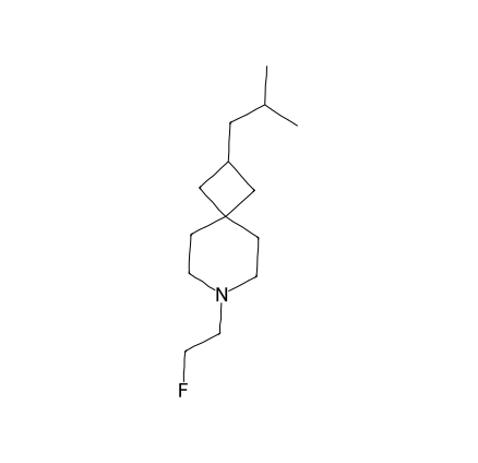 CC(C)CC1CC2(CCN(CCF)CC2)C1